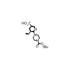 C=Cc1cc(C(=O)O)cnc1N1CCN(C(=O)OC(C)(C)C)CC1